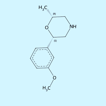 COc1cccc([C@H]2CNC[C@@H](C)O2)c1